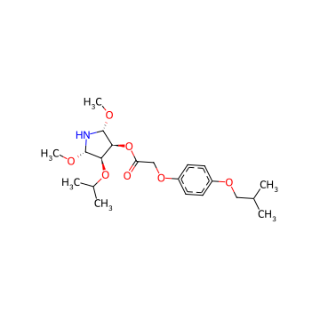 CO[C@H]1N[C@@H](OC)[C@H](OC(C)C)[C@@H]1OC(=O)COc1ccc(OCC(C)C)cc1